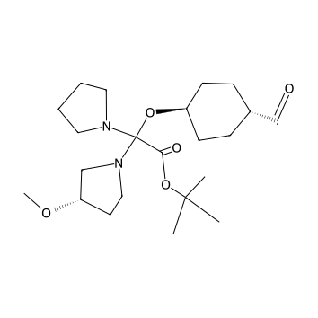 CO[C@H]1CCN(C(O[C@H]2CC[C@H]([C]=O)CC2)(C(=O)OC(C)(C)C)N2CCCC2)C1